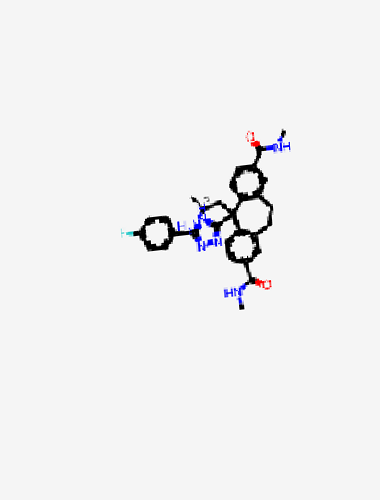 CNC(=O)c1ccc2c(c1)CCc1cc(C(=O)NC)ccc1C2(C[C@H](C)N)c1nnc(-c2ccc(F)cc2)[nH]1